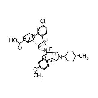 CC[C@H]1CN(C(=O)[C@]2(F)CN([C@H]3CC[C@H](C)CC3)C[C@H]2c2ccc(OC)cc2)C[C@@H]1c1ccc(Cl)cc1N1CCC(C(=O)O)CC1